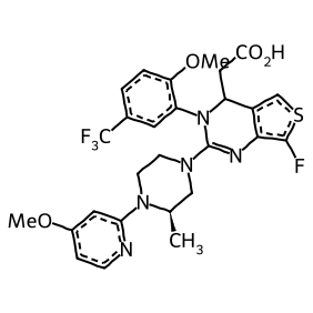 COc1ccnc(N2CCN(C3=Nc4c(csc4F)C(CC(=O)O)N3c3cc(C(F)(F)F)ccc3OC)C[C@H]2C)c1